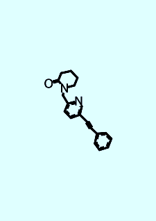 O=C1CCCCN1Cc1ccc(C#Cc2ccccc2)cn1